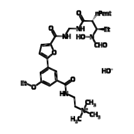 CCCCC[C@@H](C(=O)NCNC(=O)c1ccc(-c2cc(OCC)cc(C(=O)NCC[N+](C)(C)C)c2)o1)[C@@H](CC)N(O)C=O.[OH-]